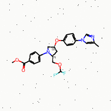 COC(=O)c1ccc(N2C[C@@H](Oc3ccc(-n4cnc(C)c4)cc3)C[C@H]2COC(F)F)cc1